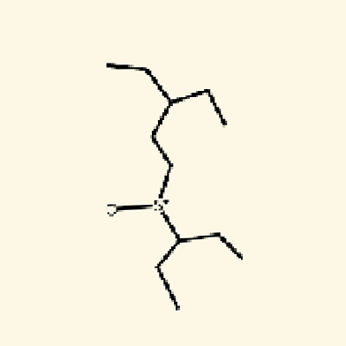 CCC(CC)CC[S+]([O-])C(CC)CC